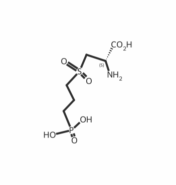 N[C@H](CS(=O)(=O)CCCP(=O)(O)O)C(=O)O